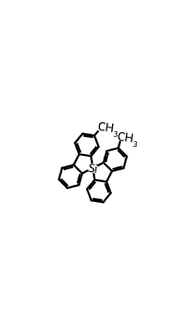 Cc1ccc2c(c1)[Si]1(c3ccccc3-2)c2ccccc2-c2ccc(C)cc21